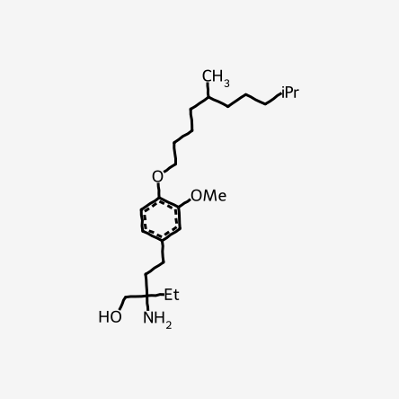 CCC(N)(CO)CCc1ccc(OCCCCC(C)CCCC(C)C)c(OC)c1